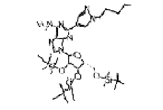 CCCCCn1cc(-c2nc(N)c3ncn(C4O[C@H](CO[Si](C)(C)C(C)(C)C)[C@@H](O[Si](C)(C)C(C)(C)C)[C@H]4O[Si](C)(C)C(C)(C)C)c3n2)cn1